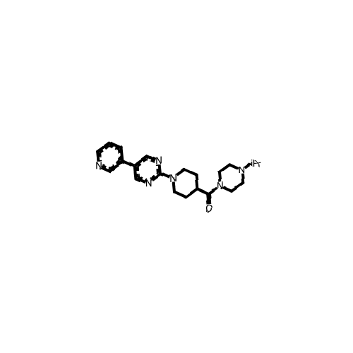 CC(C)N1CCN(C(=O)C2CCN(c3ncc(-c4cccnc4)cn3)CC2)CC1